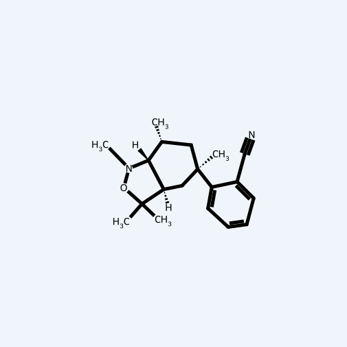 C[C@@H]1C[C@@](C)(c2ccccc2C#N)C[C@@H]2[C@@H]1N(C)OC2(C)C